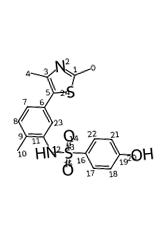 Cc1nc(C)c(-c2ccc(C)c(NS(=O)(=O)c3ccc(O)cc3)c2)s1